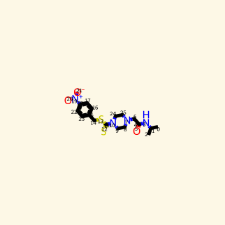 CC(C)NC(=O)CN1CCN(C(=S)SCc2ccc([N+](=O)[O-])cc2)CC1